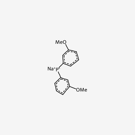 COc1cccc([P-]c2cccc(OC)c2)c1.[Na+]